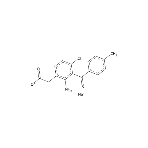 Cc1ccc(C(=S)c2c(Cl)ccc(CC(=O)[O-])c2N)cc1.[Na+]